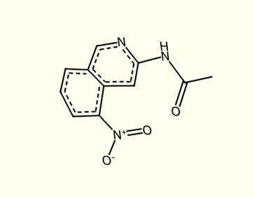 CC(=O)Nc1cc2c([N+](=O)[O-])cccc2cn1